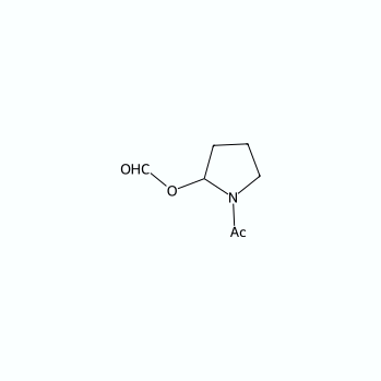 CC(=O)N1CCCC1OC=O